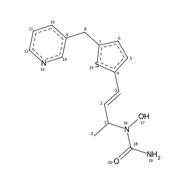 CC(C=Cc1ccc(Cc2cccnc2)s1)N(O)C(N)=O